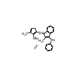 CCCCC1=[C]([Zr+2][CH]2C(C)=C(Pc3ccccc3)c3ccccc32)CC=C1C.[F-].[F-]